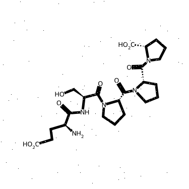 N[C@@H](CCC(=O)O)C(=O)N[C@@H](CO)C(=O)N1CCC[C@H]1C(=O)N1CCC[C@H]1C(=O)N1CCC[C@H]1C(=O)O